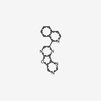 c1ccc2c(-c3cnc4oc5cncnc5c4n3)nccc2c1